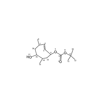 CC1/C=C/C(OC(=O)OC(C)(C)C)CC(C)C(O)C1